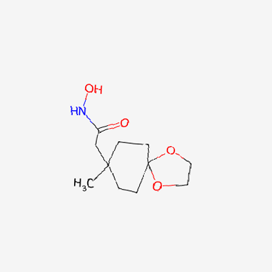 CC1(CC(=O)NO)CCC2(CC1)OCCO2